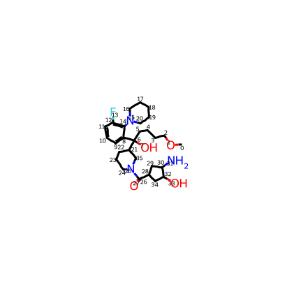 COCCCCC(O)(c1cccc(F)c1N1CCCCC1)C1CCCN(C(=O)C2CC(N)C(O)C2)C1